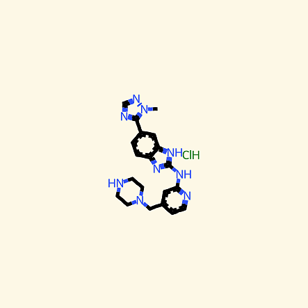 Cl.Cn1ncnc1-c1ccc2nc(Nc3cc(CN4CCNCC4)ccn3)[nH]c2c1